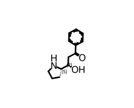 O=C(C[C@@H](O)[C@@H]1CCCN1)c1ccccc1